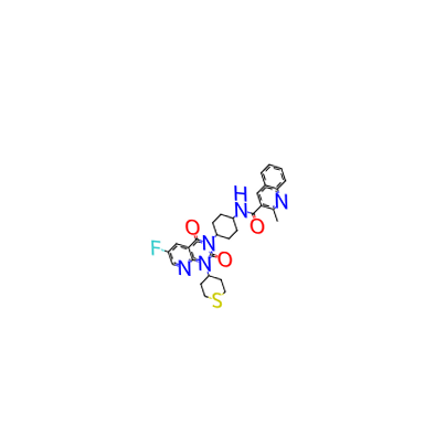 Cc1nc2ccccc2cc1C(=O)NC1CCC(n2c(=O)c3cc(F)cnc3n(C3CCSCC3)c2=O)CC1